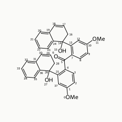 COc1ccc(C(=O)c2ccc(OC)cc2C2(O)CC=Cc3ccccc32)c(C2(O)CC=Cc3ccccc32)c1